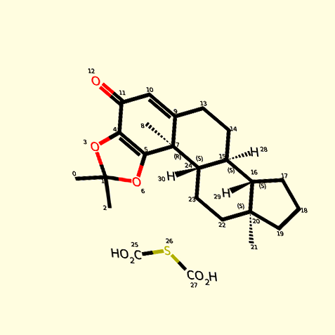 CC1(C)OC2=C(O1)[C@@]1(C)C(=CC2=O)CC[C@H]2[C@@H]3CCC[C@@]3(C)CC[C@@H]21.O=C(O)SC(=O)O